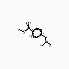 CSC(=O)c1ccc(CC(C)C)cn1